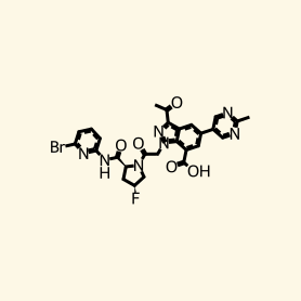 CC(=O)c1nn(CC(=O)N2C[C@H](F)C[C@H]2C(=O)Nc2cccc(Br)n2)c2c(C(=O)O)cc(-c3cnc(C)nc3)cc12